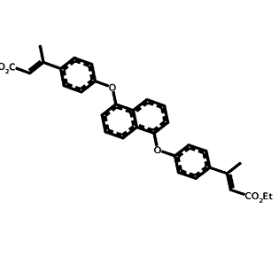 CCOC(=O)C=C(C)c1ccc(Oc2cccc3c(Oc4ccc(/C(C)=C/C(=O)OCC)cc4)cccc23)cc1